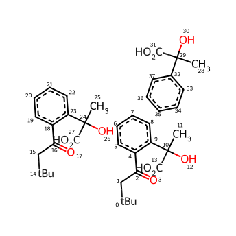 CC(C)(C)CC(=O)c1ccccc1C(C)(O)C(=O)O.CC(C)(C)CC(=O)c1ccccc1C(C)(O)C(=O)O.CC(O)(C(=O)O)c1ccccc1